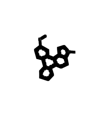 COc1ccc2c3ccccc3c3ccc4c(ccn4C)c3c2c1